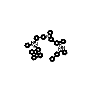 c1ccc(-c2ccc(-c3nc(-n4c5ccccc5c5cc(-c6ccc7c(c6)c6ccccc6n7-c6ccc(-c7cccc(-c8nc(-c9ccccc9)nc(-c9cccc%10c9-c9ccccc9C%109c%10ccccc%10-c%10ccccc%109)n8)c7)cc6)ccc54)nc4ccccc34)cc2)cc1